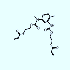 C=CC(=O)SCCOC(=O)Nc1cc(N(C)C(=O)OCCSC(=O)C=C)ccc1C